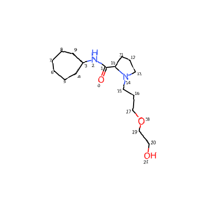 O=C(NC1CCCCCC1)C1CCCN1CCCOCCO